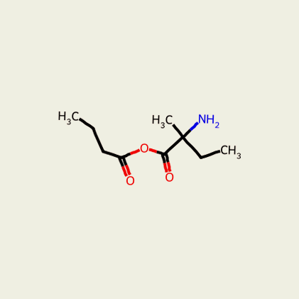 CCCC(=O)OC(=O)C(C)(N)CC